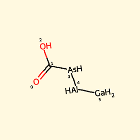 O=C(O)[AsH][AlH][GaH2]